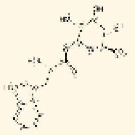 N[C@@H](Cc1c[nH]c2ccccc12)C(=O)OC1O[C@H](C(=O)O)[C@@H](O)[C@H](O)[C@H]1O